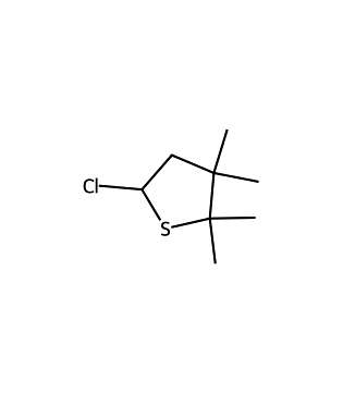 CC1(C)CC(Cl)SC1(C)C